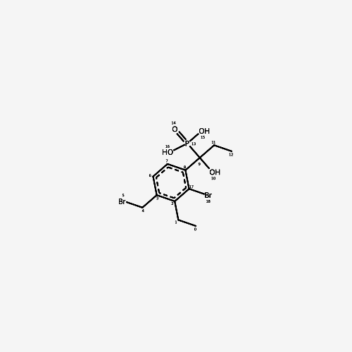 CCc1c(CBr)ccc(C(O)(CC)P(=O)(O)O)c1Br